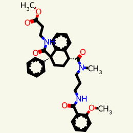 COC(=O)CCNC(=O)[C@]1(c2ccccc2)CC[C@@H](C(=O)N(C)CCCNC(=O)c2ccccc2OC)c2ccccc21